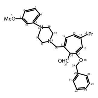 COc1cccc(N2CCN(CC3=CC=C(C(C)C)C=C(OCc4ccccc4)C3C=O)CC2)c1